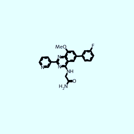 COc1cc(-c2cccc(F)c2)cc2c(NCC(N)=O)nc(-c3cccnc3)nc12